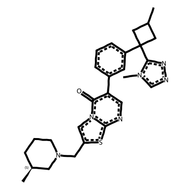 CC1CC(c2cccc(-c3cnc4sc(CN5CCC[C@H](C)C5)cn4c3=O)c2)(c2nncn2C)C1